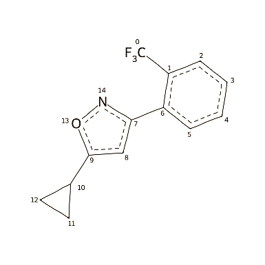 FC(F)(F)c1ccccc1-c1cc(C2CC2)on1